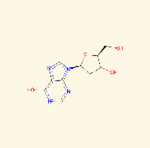 OC[C@@H]1O[C@H](n2cnc3c(O)ncnc32)CC1O